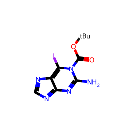 CC(C)(C)OC(=O)n1c(N)nc2ncnc-2c1I